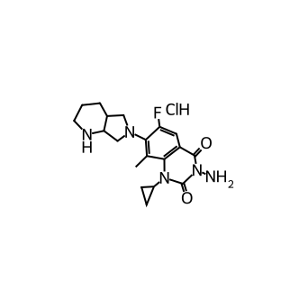 Cc1c(N2CC3CCCNC3C2)c(F)cc2c(=O)n(N)c(=O)n(C3CC3)c12.Cl